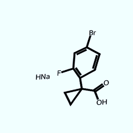 O=C(O)C1(c2ccc(Br)cc2F)CC1.[NaH]